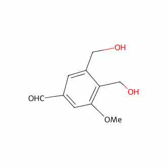 COc1cc(C=O)cc(CO)c1CO